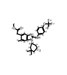 COC(=O)Cc1cc2nc(Nc3ccc(OC(F)(F)F)cc3)n([C@@H]3C[C@H](C)CC(C)(C)C3)c2cc1C